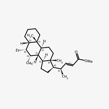 CC[C@H]1[C@@H](OC(C)=O)[C@@H]2[C@H](CC[C@]3(C)[C@@H]([C@H](C)/C=C/C(=O)OC)CC[C@@H]23)[C@@]2(C)CCCC[C@@H]12